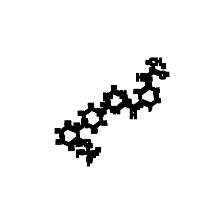 CC(=O)Nc1cccc(Nc2ncnc(N3CCN(c4ccccc4OC(F)(F)F)CC3)n2)c1